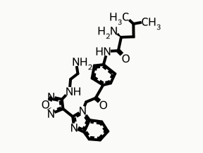 CC(C)C[C@H](N)C(=O)Nc1ccc(C(=O)Cn2c(-c3nonc3NCCN)nc3ccccc32)cc1